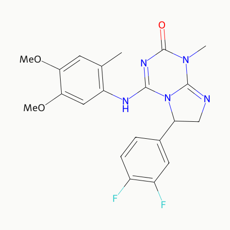 COc1cc(C)c(NC2=NC(=O)N(C)C3=NCC(c4ccc(F)c(F)c4)N23)cc1OC